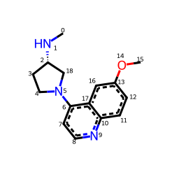 CN[C@H]1CCN(c2ccnc3ccc(OC)cc23)C1